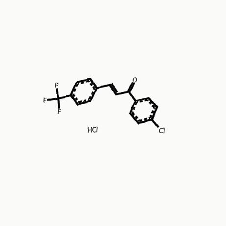 Cl.O=C(C=Cc1ccc(C(F)(F)F)cc1)c1ccc(Cl)cc1